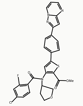 COC(=O)c1sc(-c2ccc(-c3cc4ncccn4n3)cc2)cc1N(C(=O)c1ccc(Cl)cc1F)C1CCOC1